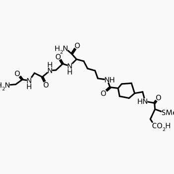 CSC(CC(=O)O)C(=O)NCC1CCC(C(=O)NCCCCC(NC(=O)CNC(=O)CNC(=O)CN)C(N)=O)CC1